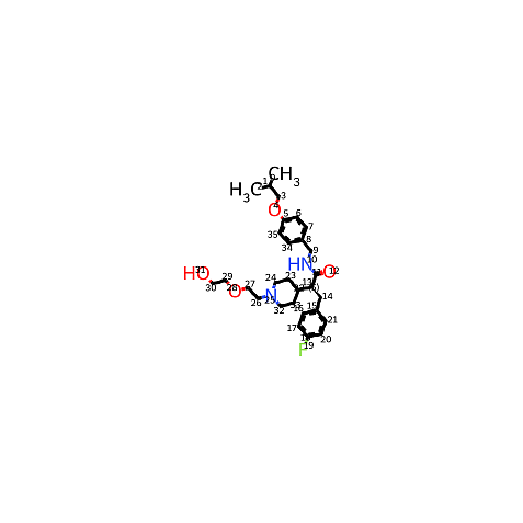 CC(C)COc1ccc(CNC(=O)[C@@H](Cc2ccc(F)cc2)C2CCN(CCOCCO)CC2)cc1